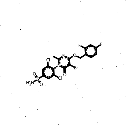 Cc1nc(OCc2ccc(F)cc2F)c(Br)c(=O)n1-c1c(Cl)cc(S(N)(=O)=O)cc1Cl